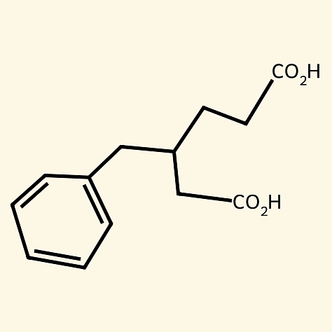 O=C(O)CCC(CC(=O)O)Cc1ccccc1